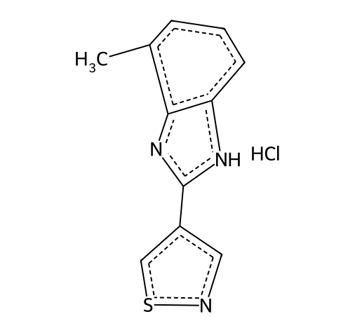 Cc1cccc2[nH]c(-c3cnsc3)nc12.Cl